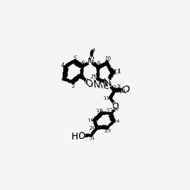 COc1ccccc1N(C)C1CCN(C(=O)COc2ccc(CO)cc2)C1